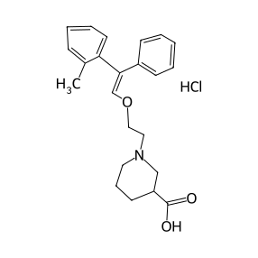 Cc1ccccc1C(=COCCN1CCCC(C(=O)O)C1)c1ccccc1.Cl